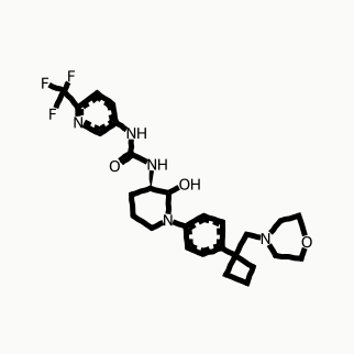 O=C(Nc1ccc(C(F)(F)F)nc1)N[C@@H]1CCCN(c2ccc(C3(CN4CCOCC4)CCC3)cc2)C1O